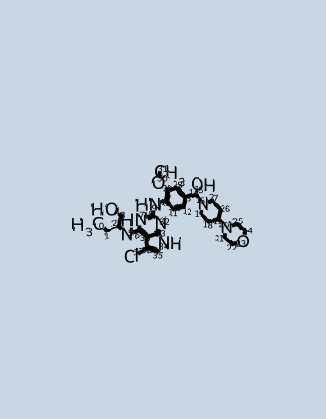 CC[C@@H](CO)Nc1nc(Nc2ccc([C@H](O)N3CCC(N4CCOCC4)CC3)cc2OC)nc2[nH]cc(Cl)c12